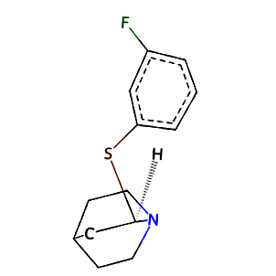 Fc1cccc(S[C@@H]2CC3CCN2CC3)c1